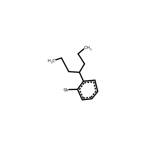 CCCC(CCC)c1cccc[c]1[Sb]